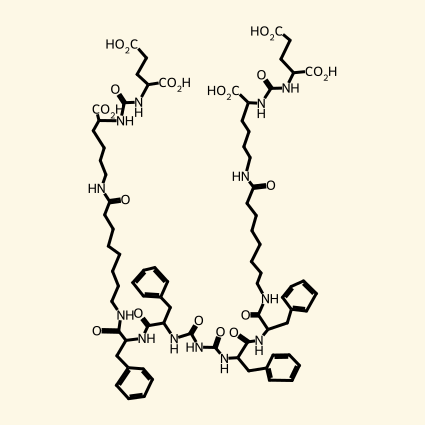 O=C(O)CCC(NC(=O)NC(CCCCNC(=O)CCCCCCCNC(=O)C(Cc1ccccc1)NC(=O)C(Cc1ccccc1)NC(=O)NC(=O)NC(Cc1ccccc1)C(=O)NC(Cc1ccccc1)C(=O)NCCCCCCCC(=O)NCCCCC(NC(=O)NC(CCC(=O)O)C(=O)O)C(=O)O)C(=O)O)C(=O)O